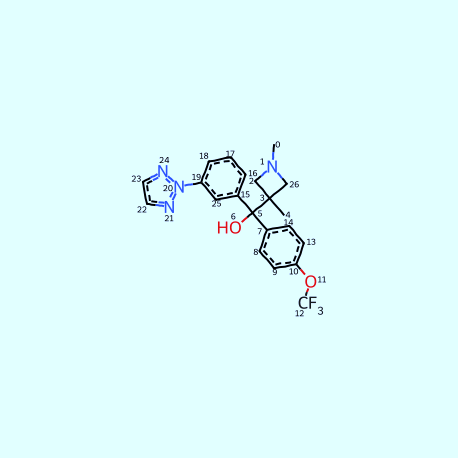 CN1CC(C)(C(O)(c2ccc(OC(F)(F)F)cc2)c2cccc(-n3nccn3)c2)C1